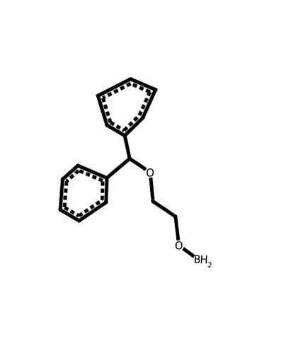 BOCCOC(c1ccccc1)c1ccccc1